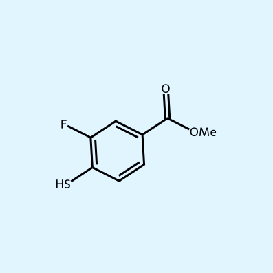 COC(=O)c1ccc(S)c(F)c1